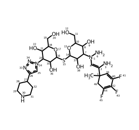 CC1(/C(N)=C/N(N)C2C(O)C(CO)OC(SC3OC(CO)C(O)C(n4cc(C5CCNCC5)nn4)C3O)C2O)C=C(F)C(F)=C(F)C1